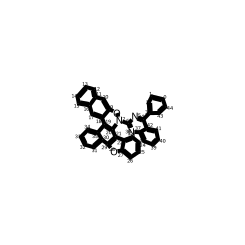 c1ccc(-c2nc(N3Oc4cc5ccccc5cc4-c4c3c3c5ccccc5oc3c3ccccc43)nc3ccccc23)cc1